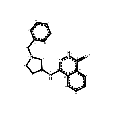 O=c1[nH]nc(NC2CCN(Cc3ccccc3)C2)c2ccccc12